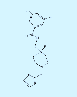 O=C(NCC1(F)CCN(Cc2ccco2)CC1)c1cc(Cl)cc(Cl)c1